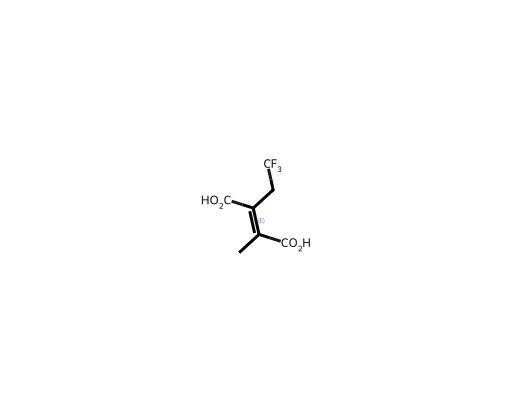 C/C(C(=O)O)=C(/CC(F)(F)F)C(=O)O